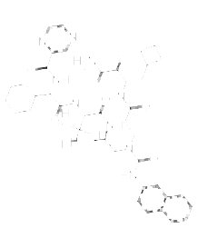 CC(CN(CCC(=O)N[C@@H](CC1CCC1)C(=O)C(N)=O)C(=O)Nc1ccc2ccccc2c1)NC(=O)[C@@H](NC(=O)[C@@H](NC(=O)c1cnccn1)C1CCCCC1)C(C)(C)C